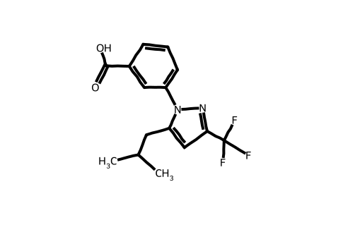 CC(C)Cc1cc(C(F)(F)F)nn1-c1cccc(C(=O)O)c1